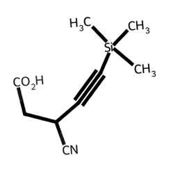 C[Si](C)(C)C#CC(C#N)CC(=O)O